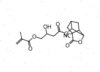 C=C(C)C(=O)OCC(O)CC(=O)OC1C2CC3C1OC(=O)C3(C#N)C2